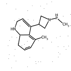 CPN1CC(C2=CCNC3CC=CC(C)=C23)C1